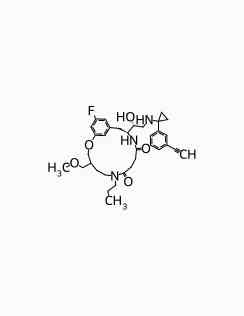 C#Cc1cccc(C2(NC[C@@H](O)[C@@H]3Cc4cc(F)cc(c4)OCC(COC)CCN(CCC)C(=O)CCC(=O)N3)CC2)c1